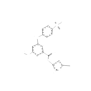 Cc1cc(NC(=O)c2cc(Oc3ccc(S(C)(=O)=O)cc3)cc(OC(C)C)c2)no1